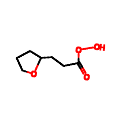 O=C(CCC1CCCO1)OO